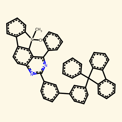 C[Si]1(C)c2ccccc2-c2ccc3nc(-c4cccc(-c5cccc(C6(c7ccccc7)c7ccccc7-c7ccccc76)c5)c4)nc(-c4ccccc4)c3c21